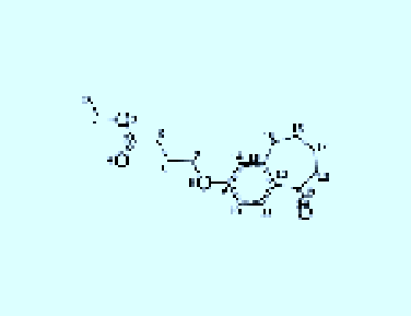 CCOC(=O)CCCOc1ccc2c(c1)CCCCC2=O